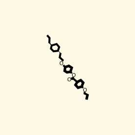 C=CCOc1ccc(C(=O)Oc2ccc(OCCC[C@H]3CC[C@H](CCC)CC3)cc2)cc1